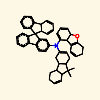 CC1(C)C2C=CCCC2C2CC(N(C3=CC=CC4OC5=C(C=CCC5)C34)c3ccc4c(c3)C3(c5ccccc5-4)c4ccccc4C4C=CC=CC43)=CCC21